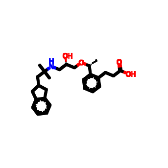 C[C@@H](OC[C@@H](O)CNC(C)(C)CC1Cc2ccccc2C1)c1ccccc1CCC(=O)O